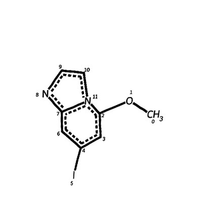 COc1cc(I)cc2nccn12